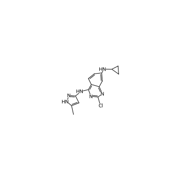 Cc1cc(Nc2nc(Cl)nc3cc(NC4CC4)ccc23)n[nH]1